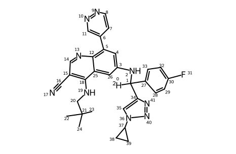 [2H]C(Nc1cc(-c2ccnnc2)c2ncc(C#N)c(NCC(C)(C)C)c2c1)(c1ccc(F)cc1)c1cn(C2CC2)nn1